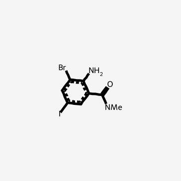 CNC(=O)c1cc(I)cc(Br)c1N